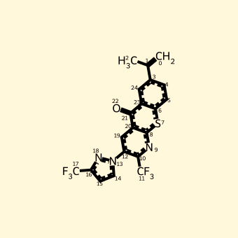 C=C(C)c1ccc2sc3nc(C(F)(F)F)c(-n4ccc(C(F)(F)F)n4)cc3c(=O)c2c1